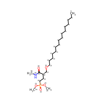 CCCCCCCCCCCCCCCCOC[C@@H](CCP(=O)(OC)OC)C(=O)NC